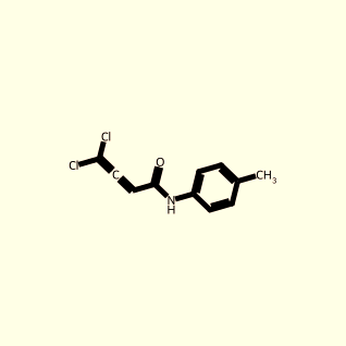 Cc1ccc(NC(=O)C=C=C(Cl)Cl)cc1